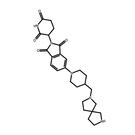 O=C1CCC(N2C(=O)c3ccc(N4CCC(CN5CCC6(CCNC6)C5)CC4)cc3C2=O)C(=O)N1